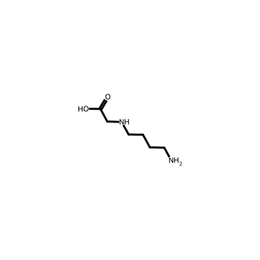 NCCCCNCC(=O)O